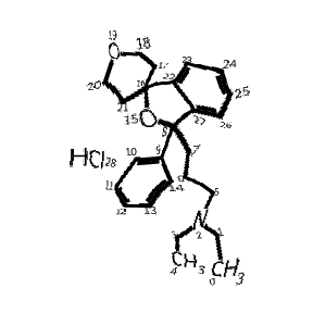 CCN(CC)CCCC1(c2ccccc2)OC2(CCOCC2)c2ccccc21.Cl